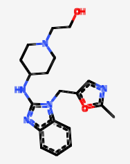 Cc1ncc(Cn2c(NC3CCN(CCO)CC3)nc3ccccc32)o1